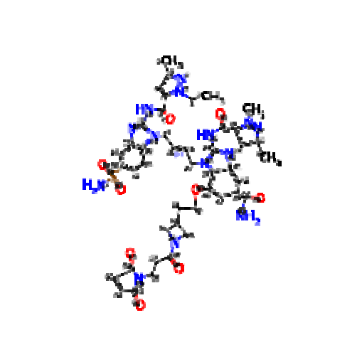 CCn1nc(C)cc1C(=O)Nc1nc2cc(S(N)(=O)=O)ccc2n1C/C=C/Cn1c(NC(=O)c2cc(C)nn2C)nc2cc(C(N)=O)cc(OCCC3CN(C(=O)CCN4C(=O)C=CC4=O)C3)c21